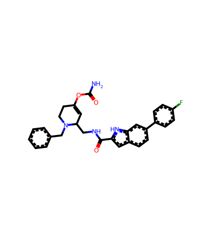 NC(=O)OC1=CC(CNC(=O)c2cc3ccc(-c4ccc(F)cc4)cc3[nH]2)N(Cc2ccccc2)CC1